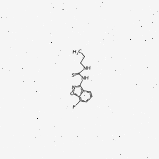 CCCNC(=S)Nc1noc2c(F)cccc12